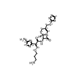 NCCCON=C(C(=O)NC1C(=O)N2C=C(CSc3nncs3)CS[C@@H]12)c1nsc(N)n1